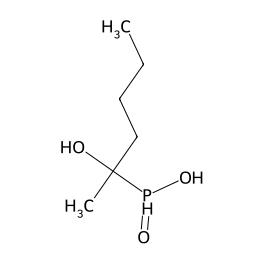 CCCCC(C)(O)[PH](=O)O